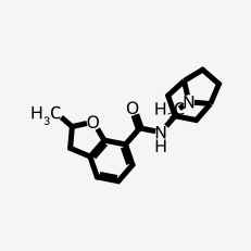 CC1Cc2cccc(C(=O)NC3CC4CCC(C3)N4C)c2O1